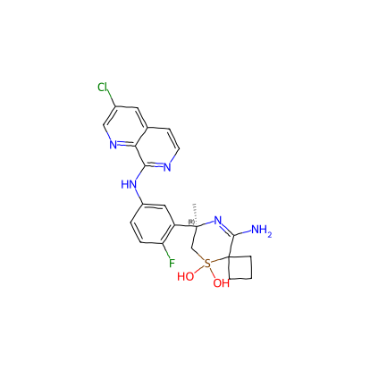 C[C@@]1(c2cc(Nc3nccc4cc(Cl)cnc34)ccc2F)CS(O)(O)C2(CCC2)C(N)=N1